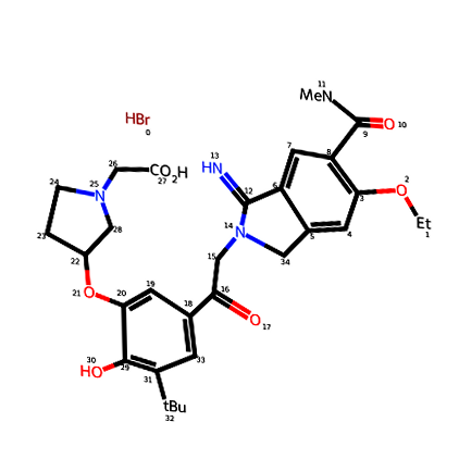 Br.CCOc1cc2c(cc1C(=O)NC)C(=N)N(CC(=O)c1cc(OC3CCN(CC(=O)O)C3)c(O)c(C(C)(C)C)c1)C2